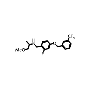 COCC(C)NCc1ccc(OCc2cccc(C(F)(F)F)c2)cc1F